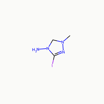 CN1CN(N)C(I)=N1